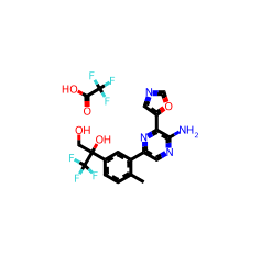 Cc1ccc(C(O)(CO)C(F)(F)F)cc1-c1cnc(N)c(-c2cnco2)n1.O=C(O)C(F)(F)F